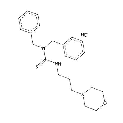 Cl.S=C(NCCCN1CCOCC1)N(Cc1ccccc1)Cc1ccccc1